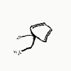 CC[C]1([Zn])C=CC=C1